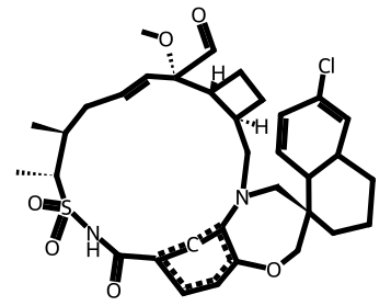 CO[C@@]1(C=O)/C=C/C[C@H](C)[C@@H](C)S(=O)(=O)NC(=O)c2ccc3c(c2)N(C[C@@H]2CC[C@H]21)C[C@@]1(CCCC2C=C(Cl)C=CC21)CO3